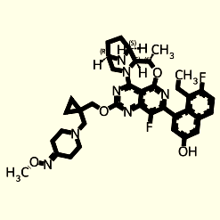 CCc1c(F)ccc2cc(O)cc(-c3nc4c5c(nc(OCC6(CN7CCC(=NOC)CC7)CC6)nc5c3F)N3C[C@H]5CC[C@H](N5)[C@H]3[C@H](C)O4)c12